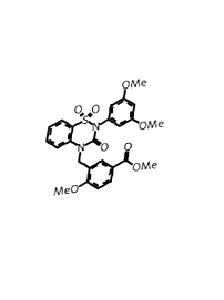 COC(=O)c1ccc(OC)c(CN2C(=O)N(c3cc(OC)cc(OC)c3)S(=O)(=O)c3ccccc32)c1